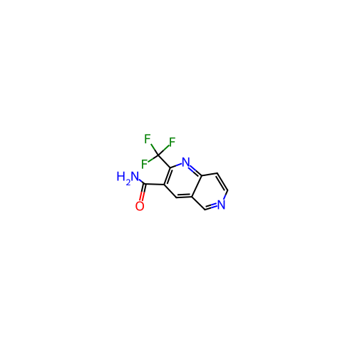 NC(=O)c1cc2cnccc2nc1C(F)(F)F